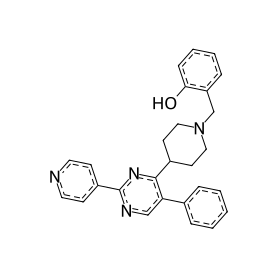 Oc1ccccc1CN1CCC(c2nc(-c3ccncc3)ncc2-c2ccccc2)CC1